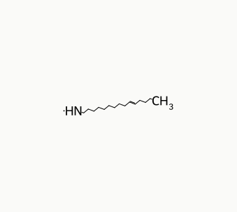 CCCC/C=C/CCCCCCCCC[NH]